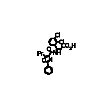 CC(C)c1oc(-c2ccccc2)nc1C(=O)NC(CC(=O)O)c1cccc(Cl)c1Cl